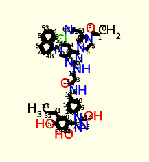 C=CC(=O)N1CCN(c2nc(NCCC(=O)NCc3ccc(-n4c(O)nnc4-c4cc(CCC)c(O)cc4O)cc3)nc3c2CCN(c2cccc4cccc(Cl)c24)C3)CC1CC#N